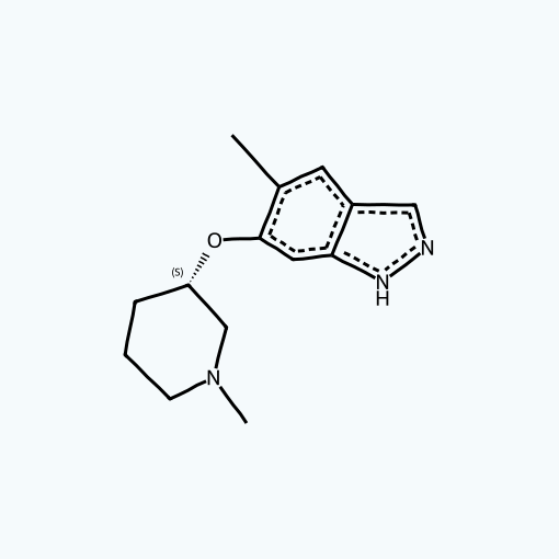 Cc1cc2cn[nH]c2cc1O[C@H]1CCCN(C)C1